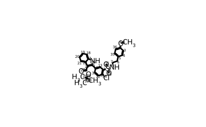 COc1ccc(CCNS(=O)(=O)c2cc(-c3[nH]c4ccccc4c3C(=O)OC(C)(C)C)ccc2Cl)cc1